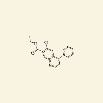 CCOC(=O)c1cc2nccc(-c3ccccc3)c2cc1Cl